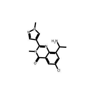 CC(N)c1cc(Cl)cc2c(=O)n(C)c(-c3cnn(C)c3)nc12